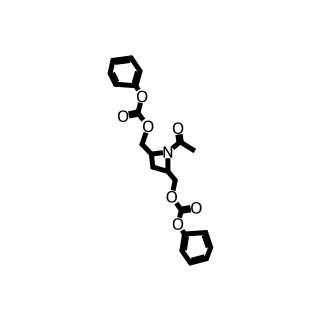 CC(=O)N1C(COC(=O)Oc2ccccc2)CC1COC(=O)Oc1ccccc1